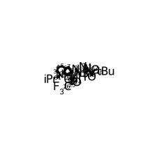 CC(C)CN1CCCc2cc(N=Nc3nnc(C(=O)OC(C)(C)C)s3)c(NS(=O)(=O)CC(F)(F)F)cc21